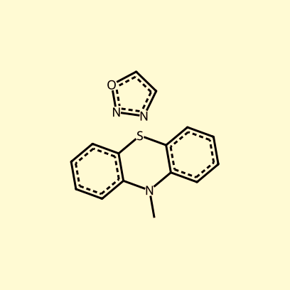 CN1c2ccccc2Sc2ccccc21.c1conn1